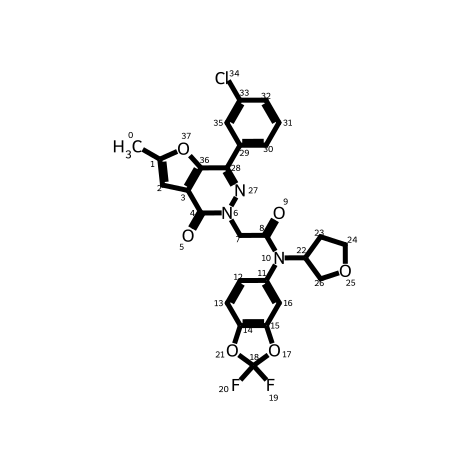 Cc1cc2c(=O)n(CC(=O)N(c3ccc4c(c3)OC(F)(F)O4)C3CCOC3)nc(-c3cccc(Cl)c3)c2o1